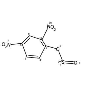 O=[SH]Oc1ccc([N+](=O)[O-])cc1[N+](=O)[O-]